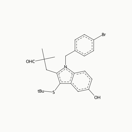 CC(C)(C=O)Cc1c(SC(C)(C)C)c2cc(O)ccc2n1Cc1ccc(Br)cc1